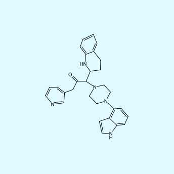 O=C(Cc1cccnc1)C(C1CCc2ccccc2N1)N1CCN(c2cccc3[nH]ccc23)CC1